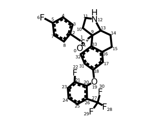 [O-][S+](c1ccc(F)cc1)C12CCNC1CCc1cc(Oc3c(F)cccc3C(F)(F)F)ccc12